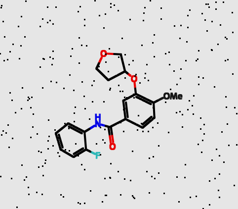 COc1ccc(C(=O)Nc2ccccc2F)cc1OC1CCOC1